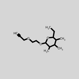 C#CCOCCOC1OC(CC)C(C)C(C)C1C